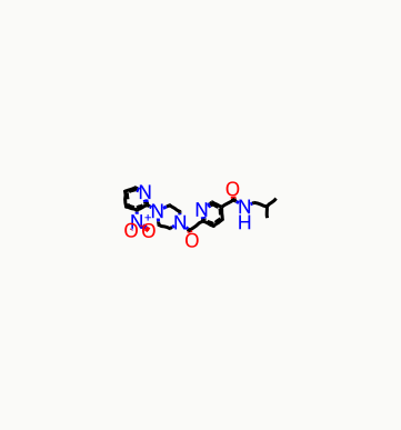 CC(C)CNC(=O)c1ccc(C(=O)N2CCN(c3ncccc3[N+](=O)[O-])CC2)nc1